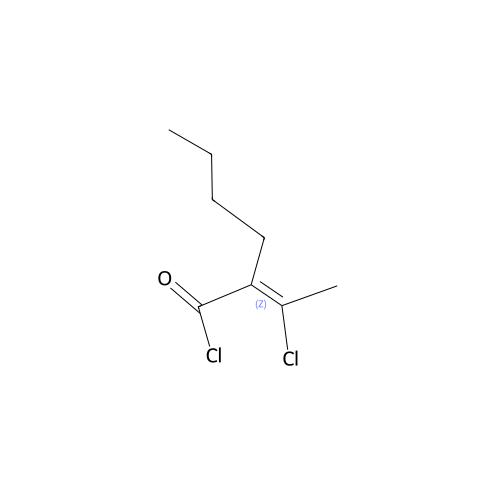 CCCC/C(C(=O)Cl)=C(\C)Cl